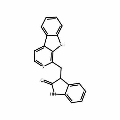 O=C1Nc2ccccc2C1Cc1nccc2c1[nH]c1ccccc12